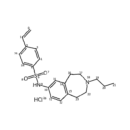 C=Cc1ccc(S(=O)(=O)Nc2ccc3c(c2)CCN(CCC)CC3)cc1.Cl